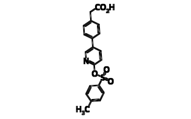 Cc1ccc(S(=O)(=O)Oc2ccc(-c3ccc(CC(=O)O)cc3)cn2)cc1